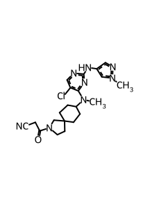 CN(c1nc(Nc2cnn(C)c2)ncc1Cl)C1CCC2(CC1)CCN(C(=O)CC#N)C2